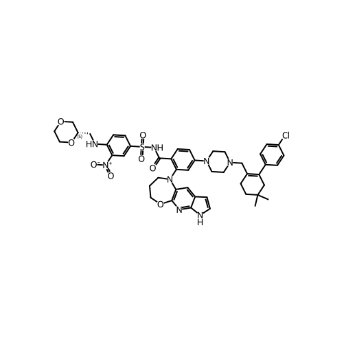 CC1(C)CCC(CN2CCN(c3ccc(C(=O)NS(=O)(=O)c4ccc(NC[C@H]5COCCO5)c([N+](=O)[O-])c4)c(N4CCCOc5nc6[nH]ccc6cc54)c3)CC2)=C(c2ccc(Cl)cc2)C1